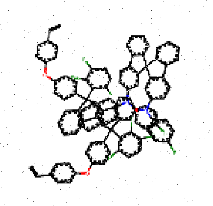 C=Cc1ccc(Oc2ccc(C3(c4c(F)ccc(F)c4F)c4ccccc4-c4ccc(N(c5ccc(F)cc5)c5ccc6c(c5)C5(c7ccccc7-6)c6ccccc6-c6ccc(N(c7ccc(F)cc7)c7ccc8c(c7)C(c7ccc(Oc9ccc(C=C)cc9)cc7)(c7c(F)ccc(F)c7F)c7ccccc7-8)cc65)cc43)cc2)cc1